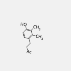 CC(=O)CCc1ccc(O)c(C)c1C